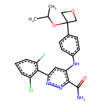 CC(C)OC1(c2ccc(Nc3cc(-c4c(F)cccc4Cl)nnc3C(N)=O)cc2)COC1